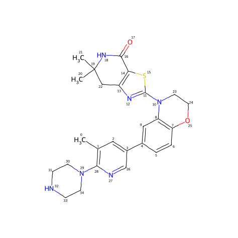 Cc1cc(-c2ccc3c(c2)N(c2nc4c(s2)C(=O)NC(C)(C)C4)CCO3)cnc1N1CCNCC1